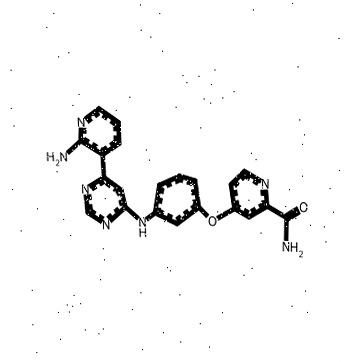 NC(=O)c1cc(Oc2cccc(Nc3cc(-c4cccnc4N)ncn3)c2)ccn1